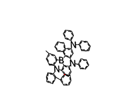 Cc1ccc2c(c1)B1c3c(cccc3N2c2ccccc2-c2ccccc2)N(c2ccccc2)c2cc(N(c3ccccc3)c3ccccc3)c3ccccc3c21